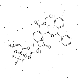 C=CC(OC(=O)N[C@@H]1C(=O)N2C(C(=O)OC(c3ccccc3)c3ccccc3)=C(C(=O)OCC)CC[C@H]12)S(=O)(=O)C(F)(F)F